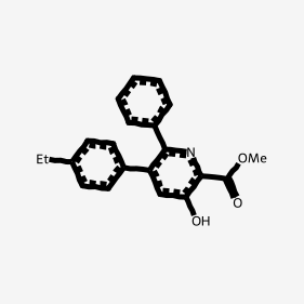 CCc1ccc(-c2cc(O)c(C(=O)OC)nc2-c2ccccc2)cc1